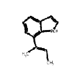 CC=C(C)c1cccc2cc[nH]c12